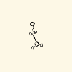 O=C(C#Cc1cc(Cl)cc(Cl)c1)NCCc1ccccc1